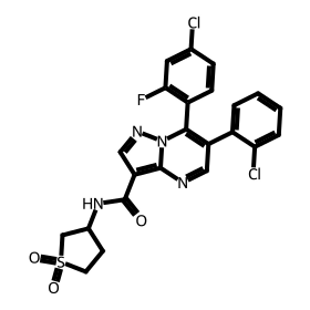 O=C(NC1CCS(=O)(=O)C1)c1cnn2c(-c3ccc(Cl)cc3F)c(-c3ccccc3Cl)cnc12